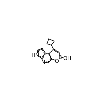 OB1C=C(C2CCC2)c2c(cnc3[nH]ccc23)O1